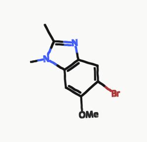 COc1cc2c(cc1Br)nc(C)n2C